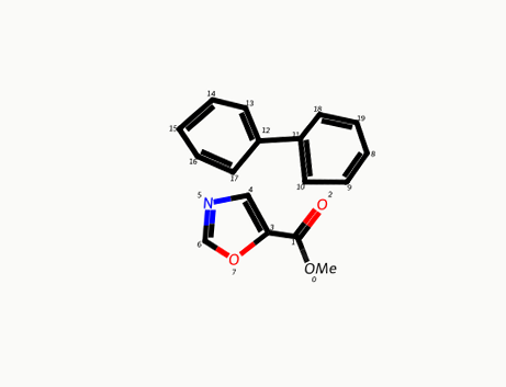 COC(=O)c1cnco1.c1ccc(-c2ccccc2)cc1